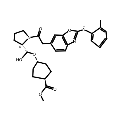 COC(=O)[C@H]1CC[C@H](OC(O)[C@@H]2CCCN2C(=O)Cc2ccc3nc(Nc4ccccc4C)oc3c2)CC1